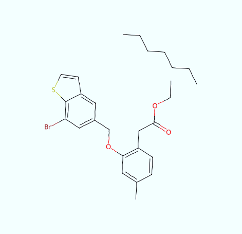 CCCCCCC.CCOC(=O)Cc1ccc(C)cc1OCc1cc(Br)c2sccc2c1